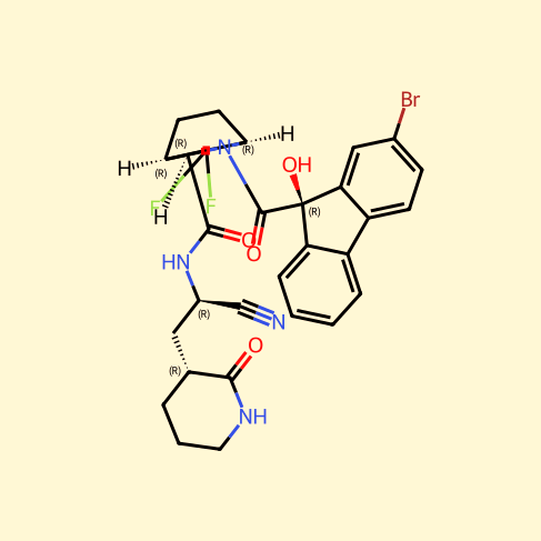 N#C[C@@H](C[C@H]1CCCNC1=O)NC(=O)[C@H]1[C@H]2CC[C@H](CC2(F)F)N1C(=O)[C@@]1(O)c2ccccc2-c2ccc(Br)cc21